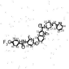 Cc1nc(Oc2ccc3c(c2)cc(C(=O)N2CCN(Cc4ccccn4)CC2)n3C)ccc1NC(=O)c1ccc(C(F)(F)F)cc1